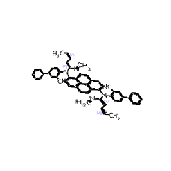 C=N/C(=C\C=C/C)N(c1ccc(-c2ccccc2)cc1C#N)c1ccc2ccc3c(N(/C(=C/C=C\C)N=C)c4ccc(-c5ccccc5)cc4C#N)ccc4ccc1c2c43